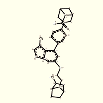 CCC(=O)N1C2CC1CN(c1ccc(-c3cc(OCCN4C5CCC4C(O)C5)cn4ncc(C#N)c34)cn1)C2